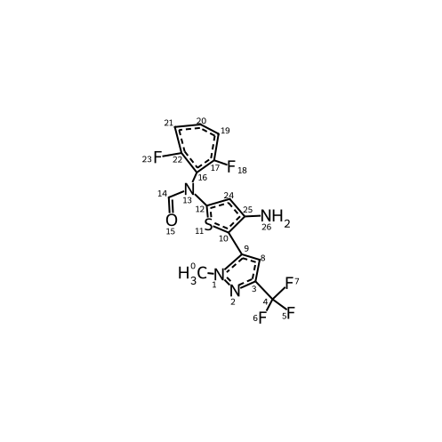 Cn1nc(C(F)(F)F)cc1-c1sc(N(C=O)c2c(F)cccc2F)cc1N